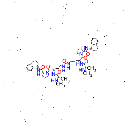 CNC(C)C(=O)N[C@@H](CCCNC(=O)NCCC[C@H](NC(=O)[C@H](C)NC)C(=O)N1CCC[C@H]1C(=O)N[C@@H]1CCCc2ccccc21)C(=O)N1CCC[C@H]1C(=O)N[C@@H]1CCCc2ccccc21